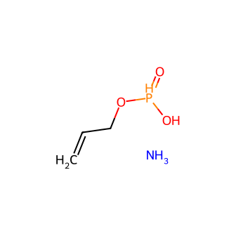 C=CCO[PH](=O)O.N